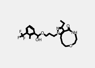 CCc1nn(CCCOC(O)c2cccc(C(F)(F)F)c2C)c2c1C(=O)NCCCOCCC2